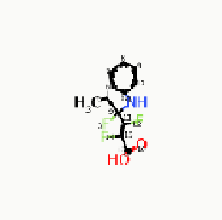 CCC(F)(Nc1ccccc1)/C(F)=C(\F)C(=O)O